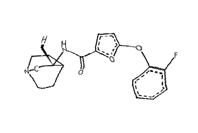 O=C(N[C@H]1CN2CCC1CC2)c1ccc(Oc2ccccc2F)o1